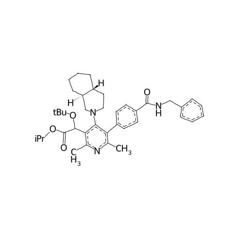 Cc1nc(C)c(C(OC(C)(C)C)C(=O)OC(C)C)c(N2CC[C@H]3CCCC[C@@H]3C2)c1-c1ccc(C(=O)NCc2ccccc2)cc1